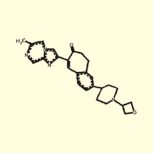 Cc1cn2cc(C3=Cc4ccc(C5CCN(C6COC6)CC5)cc4CCC3=O)nc2cn1